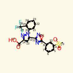 CS(=O)(=O)c1cccc(-c2nc(-c3cc(C(=O)O)nn3-c3ccccc3C(F)(F)F)no2)c1